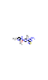 Cc1ccc(NC(=O)N2CCN(c3nc(N)nc4scnc34)C(C)C2)c(C)n1